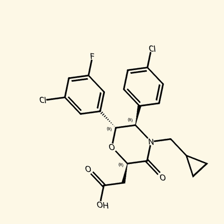 O=C(O)C[C@H]1O[C@H](c2cc(F)cc(Cl)c2)[C@@H](c2ccc(Cl)cc2)N(CC2CC2)C1=O